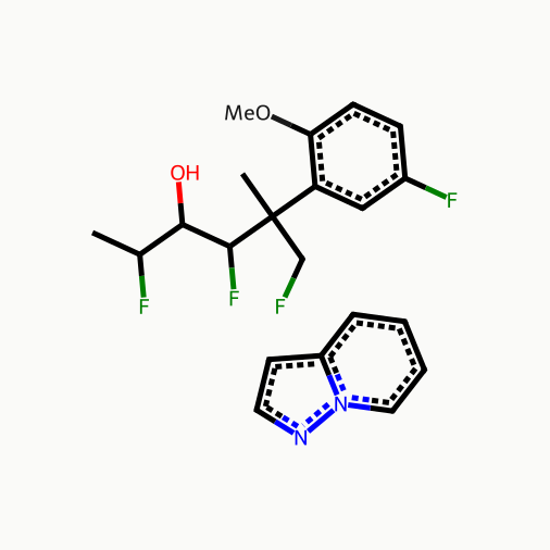 COc1ccc(F)cc1C(C)(CF)C(F)C(O)C(C)F.c1ccn2nccc2c1